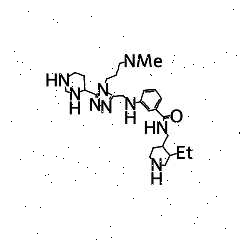 CCC1CNCCC1CNC(=O)c1cccc(NCc2nnc(C3CCNCN3)n2CCCNC)c1